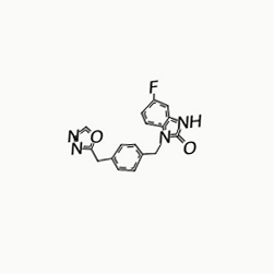 O=c1[nH]c2cc(F)ccc2n1Cc1ccc(Cc2nnco2)cc1